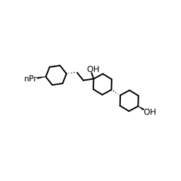 CCC[C@H]1CC[C@H](CCC2(O)CCC([C@H]3CC[C@H](O)CC3)CC2)CC1